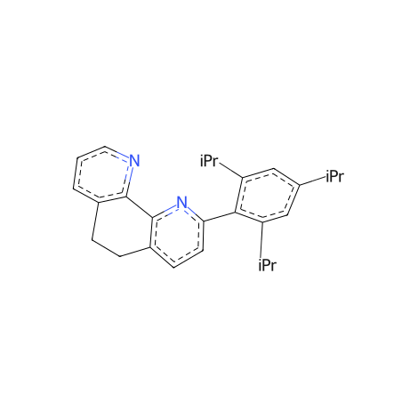 CC(C)c1cc(C(C)C)c(-c2ccc3c(n2)-c2ncccc2CC3)c(C(C)C)c1